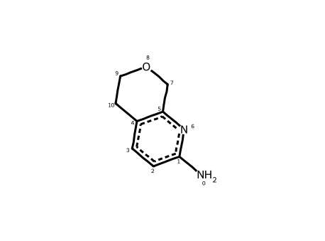 Nc1ccc2c(n1)COCC2